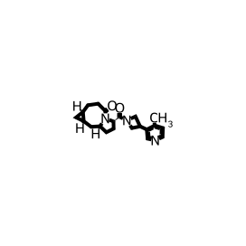 Cc1ccncc1C1CN(C(=O)[C@@H]2CC[C@@H]3C[C@@H]4C[C@H]4CCC(=O)N32)C1